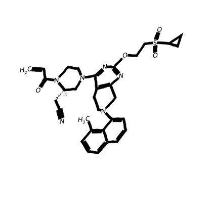 C=CC(=O)N1CCN(c2nc(OCCS(=O)(=O)C3CC3)nc3c2CCN(c2cccc4cccc(C)c24)C3)C[C@@H]1CC#N